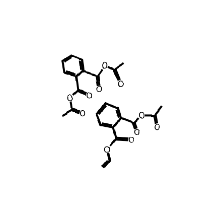 C=COC(=O)c1ccccc1C(=O)OC(C)=O.CC(=O)OC(=O)c1ccccc1C(=O)OC(C)=O